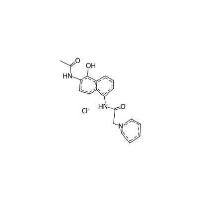 CC(=O)Nc1ccc2c(NC(=O)C[n+]3ccccc3)cccc2c1O.[Cl-]